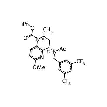 COc1ccc2c(n1)[C@@H](N(Cc1cc(C(F)(F)F)cc(C(F)(F)F)c1)C(C)=O)C[C@@H](C)N2C(=O)OC(C)C